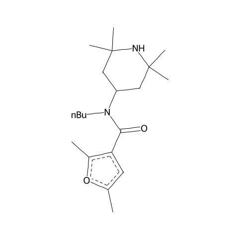 CCCCN(C(=O)c1cc(C)oc1C)C1CC(C)(C)NC(C)(C)C1